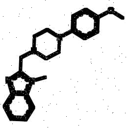 COc1ccc(N2CCN(Cc3nc4ccccc4n3C)CC2)cc1